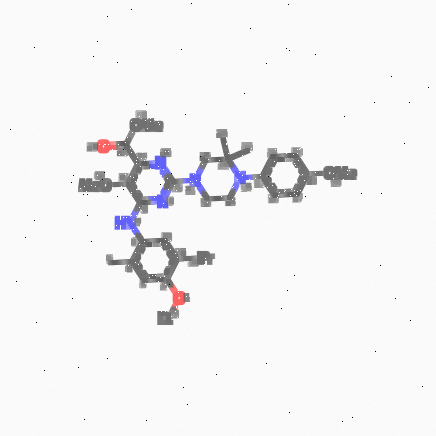 CCOc1cc(C)c(Nc2nc(N3CCN(c4ccc(OC)cc4)C(C)(C)C3)nc(C(=O)OC)c2OC)cc1C(C)C